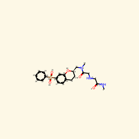 CNC(=O)CNCC(=O)N(C)C[C@H]1CCc2ccc(S(=O)(=O)c3ccccc3)cc2O1